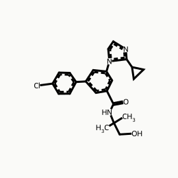 CC(C)(CO)NC(=O)c1cc(-c2ccc(Cl)cc2)cc(-n2ccnc2C2CC2)c1